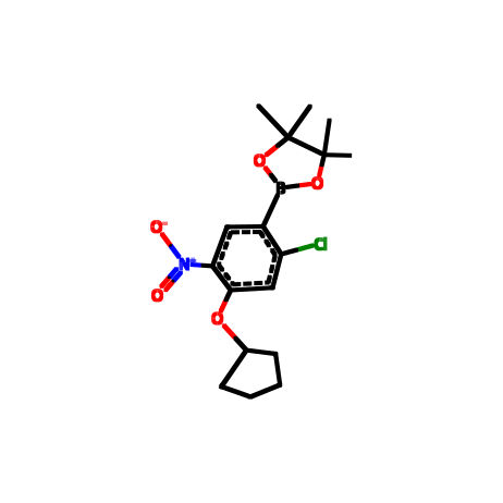 CC1(C)OB(c2cc([N+](=O)[O-])c(OC3CCCC3)cc2Cl)OC1(C)C